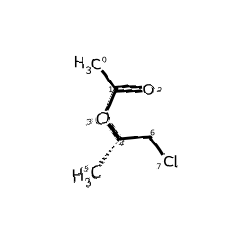 CC(=O)O[C@@H](C)CCl